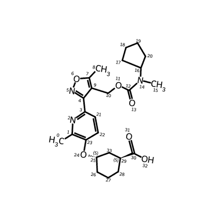 Cc1nc(-c2noc(C)c2COC(=O)N(C)C2CCCC2)ccc1O[C@H]1CCC[C@H](C(=O)O)C1